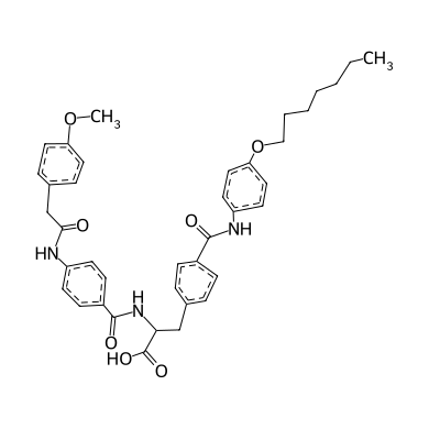 CCCCCCCOc1ccc(NC(=O)c2ccc(CC(NC(=O)c3ccc(NC(=O)Cc4ccc(OC)cc4)cc3)C(=O)O)cc2)cc1